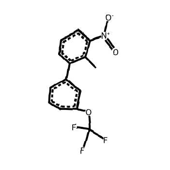 Cc1c(-c2cccc(OC(F)(F)F)c2)cccc1[N+](=O)[O-]